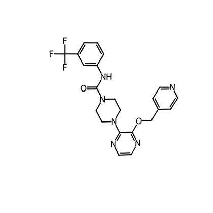 O=C(Nc1cccc(C(F)(F)F)c1)N1CCN(c2nccnc2OCc2ccncc2)CC1